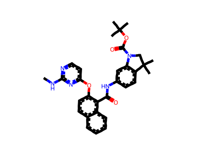 CNc1nccc(Oc2ccc3ccccc3c2C(=O)Nc2ccc3c(c2)N(C(=O)OC(C)(C)C)CC3(C)C)n1